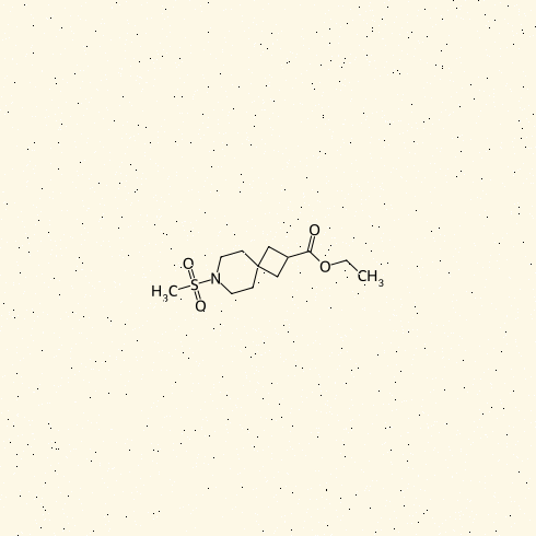 CCOC(=O)C1CC2(CCN(S(C)(=O)=O)CC2)C1